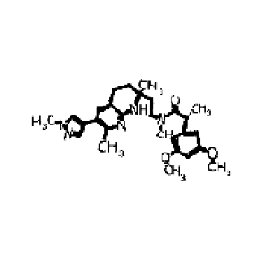 COc1cc(OC)cc([C@@H](C)C(=O)N(C)CC[C@@]2(C)CCc3cc(-c4cnn(C)c4)c(C)nc3N2)c1